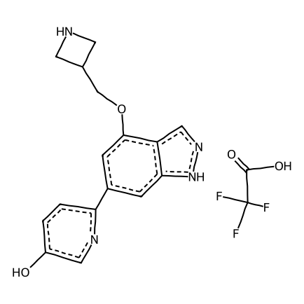 O=C(O)C(F)(F)F.Oc1ccc(-c2cc(OCC3CNC3)c3cn[nH]c3c2)nc1